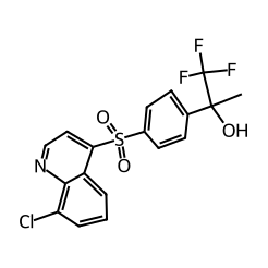 CC(O)(c1ccc(S(=O)(=O)c2ccnc3c(Cl)cccc23)cc1)C(F)(F)F